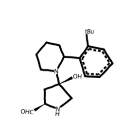 CC(C)(C)c1ccccc1C1CCCCN1[C@]1(O)CN[C@@H](C=O)C1